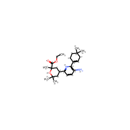 CCOC(=O)C1(C)CC(c2ccc(N)c(C3=CCC(C)(C)CC3)n2)CC(C)(C)O1